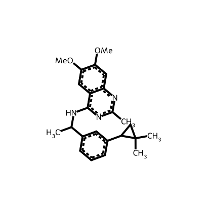 COc1cc2nc(C)nc(NC(C)c3cccc(C4CC4(C)C)c3)c2cc1OC